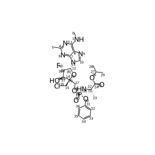 CNc1nc(C)nc2c1ncn2[C@@H]1O[C@](CCl)(CO[P@@](=O)(N[C@@H](C)C(=O)OC(C)C)Oc2ccccc2)[C@@H](O)[C@@H]1F